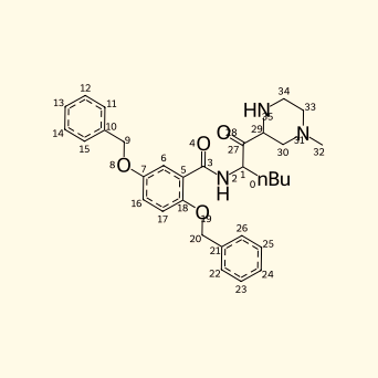 CCCCC(NC(=O)c1cc(OCc2ccccc2)ccc1OCc1ccccc1)C(=O)C1CN(C)CCN1